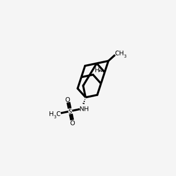 CC1[C@H]2C3CC4CC12C[C@](NS(C)(=O)=O)(C4)C3